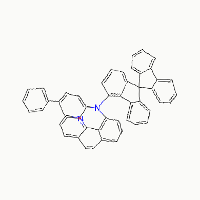 c1ccc(-c2ccc(N(c3cccc4c3-c3ccccc3C43c4ccccc4-c4ccccc43)c3cccc4ccc5cccnc5c34)cc2)cc1